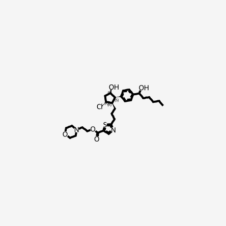 CCCCCC(O)c1ccc([C@@H]2[C@@H](CCCc3ncc(C(=O)OCCN4CCOCC4)s3)[C@H](Cl)C[C@H]2O)cc1